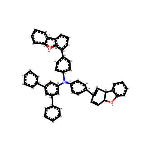 C1=CC2Oc3ccccc3C2C=C1c1ccc(N(c2ccc(-c3cccc4c3oc3ccccc34)cc2)c2cc(-c3ccccc3)cc(-c3ccccc3)c2)cc1